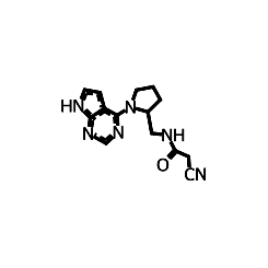 N#CCC(=O)NCC1CCCN1c1ncnc2[nH]ccc12